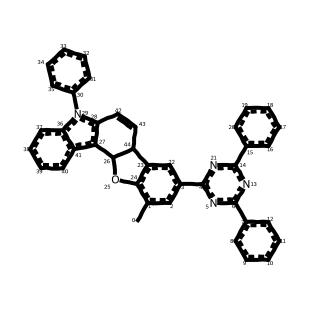 Cc1cc(-c2nc(-c3ccccc3)nc(-c3ccccc3)n2)cc2c1OC1c3c(n(-c4ccccc4)c4ccccc34)C=CC21